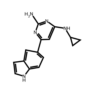 Nc1nc(NC2CC2)cc(-c2ccc3[nH]ccc3c2)n1